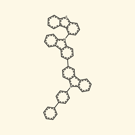 c1ccc(-c2ccc(-n3c4ccccc4c4cc(-c5ccc6c(c5)c5ccccc5n6-c5cccc6sc7ccccc7c56)ccc43)cc2)cc1